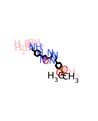 BC(B)(B)NCc1ccc(-c2cc(-c3nc(-c4ccc(S(=O)(=O)C(B)(C)C)cc4)cnc3N)on2)cc1